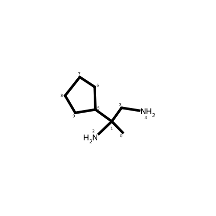 CC(N)(CN)C1CCCC1